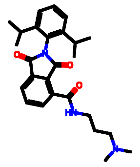 CC(C)c1cccc(C(C)C)c1N1C(=O)c2cccc(C(=O)NCCCN(C)C)c2C1=O